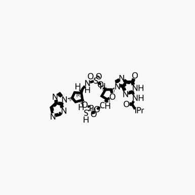 CC(C)C(=O)Nc1nc2c(ncn2[C@@H]2O[C@@H]3CO[P@@](=O)(S)O[C@H]4C[C@H](n5cnc6cncnc65)C[C@@H]4CNS(=O)(=O)O[C@@H]2C3)c(=O)[nH]1